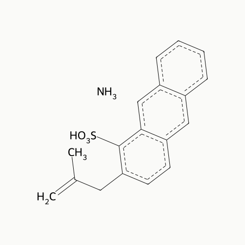 C=C(C)Cc1ccc2cc3ccccc3cc2c1S(=O)(=O)O.N